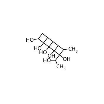 CC(O)C1(O)C(C)C2C3C4CC(O)C4(O)C3(O)C21O